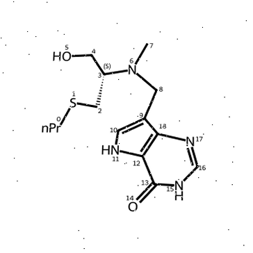 CCCSC[C@H](CO)N(C)Cc1c[nH]c2c(=O)[nH]cnc12